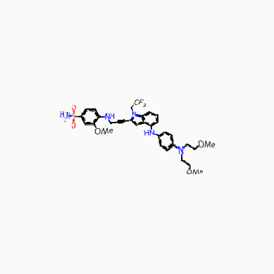 COCCN(CCOC)c1ccc(Nc2cccc3c2cc(C#CCNc2ccc(S(N)(=O)=O)cc2OC)n3CC(F)(F)F)cc1